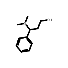 CN(C)C(CCO)c1ccccc1